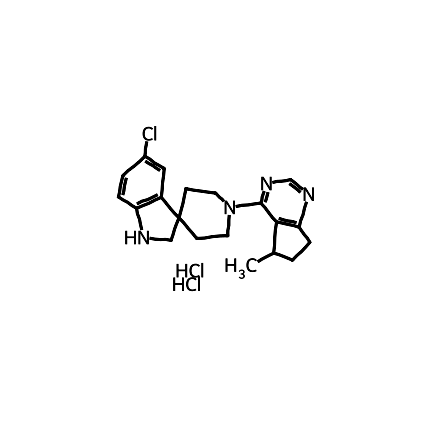 CC1CCc2ncnc(N3CCC4(CC3)CNc3ccc(Cl)cc34)c21.Cl.Cl